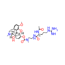 COc1ccc(C)c2c1O[C@H]1C(OC(=O)N(C)CCNC(=O)[C@H](CCCNC(=N)N)NC(C)=O)=CC[C@@]3(O)[C@H]4C(CN4C)C[C@]213